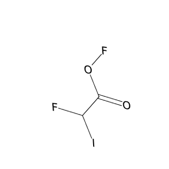 O=C(OF)C(F)I